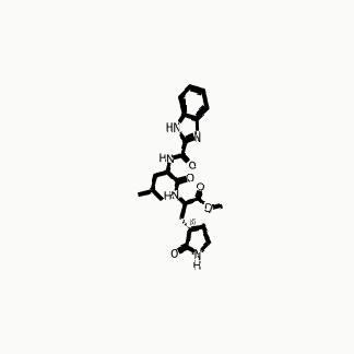 COC(=O)C(C[C@@H]1CCNC1=O)NC(=O)C(CC(C)C)NC(=O)c1nc2ccccc2[nH]1